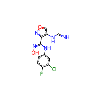 N=CNc1conc1/C(=N/O)Nc1ccc(F)c(Cl)c1